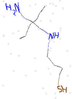 CC(C)(N)NCCS